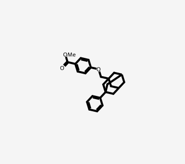 COC(=O)c1ccc(OCC23CC4CC(C2)CC(c2ccccc2)(C4)C3)cc1